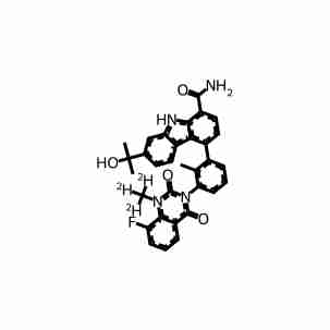 [2H]C([2H])([2H])n1c(=O)n(-c2cccc(-c3ccc(C(N)=O)c4[nH]c5cc(C(C)(C)O)ccc5c34)c2C)c(=O)c2cccc(F)c21